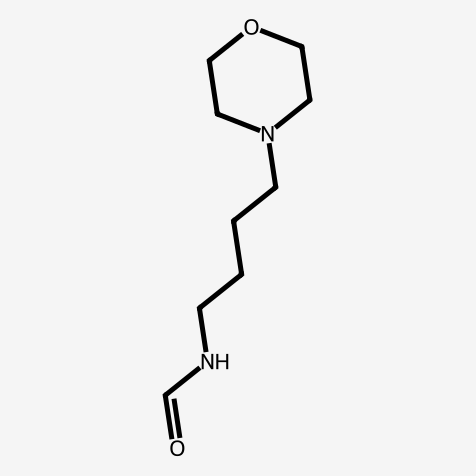 O=CNCCCCN1CCOCC1